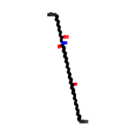 CCCCCCCCC=CCCCCCCCCCCCC(=O)CCCCCCCCCCCCCCC(=O)NCC(O)CCCCCCCCCCCCCCCCCC